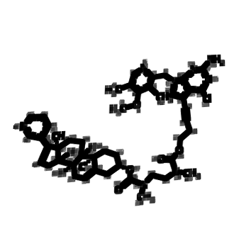 COc1c(C)cnc(Cn2cc(C#CCCOC(=O)N(C)CCN(C)C(=O)O[C@H]3CC[C@@]4(C)C(=CC[C@@H]5[C@@H]4CC[C@]4(C)C(c6cccnc6)=CC[C@@H]54)C3)c3c(Cl)nc(N)nc32)c1C